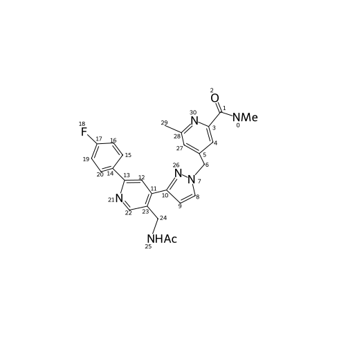 CNC(=O)c1cc(Cn2ccc(-c3cc(-c4ccc(F)cc4)ncc3CNC(C)=O)n2)cc(C)n1